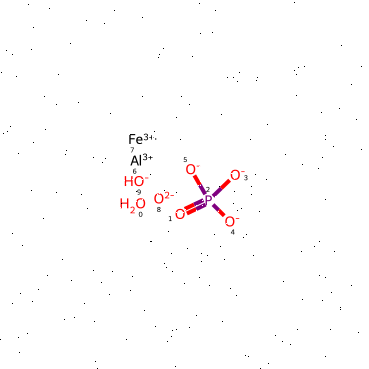 O.O=P([O-])([O-])[O-].[Al+3].[Fe+3].[O-2].[OH-]